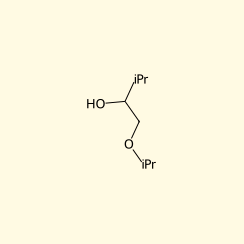 CC(C)OCC(O)C(C)C